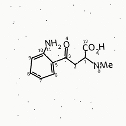 CNC(CC(=O)c1ccccc1N)C(=O)O